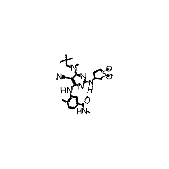 CNC(=O)c1ccc(C)c(Nc2nc(NC3CCS(=O)(=O)C3)nc(N(C)CC(C)(C)C)c2C#N)c1